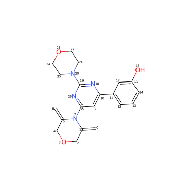 C=C1COCC(=C)N1c1cc(-c2cccc(O)c2)nc(N2CCOCC2)n1